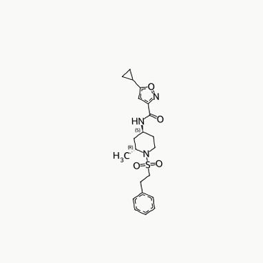 C[C@@H]1C[C@@H](NC(=O)c2cc(C3CC3)on2)CCN1S(=O)(=O)CCc1ccccc1